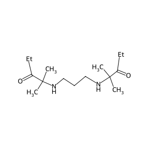 CCC(=O)C(C)(C)NCCCNC(C)(C)C(=O)CC